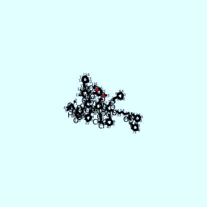 CC[C@H]1OC(C)(C)O[C@H]1C1O[C@](C)(O[C@@H]2C(OC(=O)c3ccccc3)[C@H](O[C@@H]3C(NC(=O)OCC(Cl)(Cl)Cl)[C@H](O[C@@H]4C(OCc5ccccc5)[C@H](OCCCCCN(Cc5ccccc5)C(=O)OCc5ccccc5)OC(COCc5ccccc5)[C@@H]4C)OC(COC(C)=O)[C@H]3C)OC(COCc3ccccc3)[C@@H]2OC2OC(COC(C)=O)[C@H](OCc3ccccc3)[C@H](C)[C@@H]2C)C[C@H]2OC(=O)N[C@@H]12